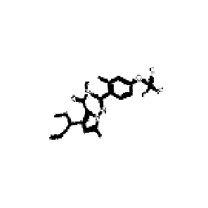 CCC(CC)c1cc(C)n2nc(-c3ccc(OC(F)(F)F)cc3C)n(C)c(=O)c12